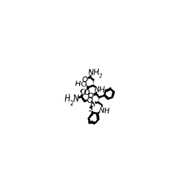 NC(=O)CON1Sc2ccccc2NC[C@H]1C(C(=O)N[C@@H](CC(N)=O)C(=O)O)c1ccccc1